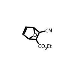 CCOC(=O)C1C2C=CC(O2)C1C#N